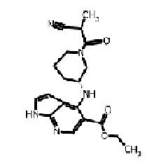 CCOC(=O)c1cnc2[nH]ccc2c1N[C@@H]1CCCN(C(=O)C(C)C#N)C1